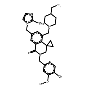 CCOc1cc(CN2CC3(CC3)c3c(CN4CCN(CC(F)(F)F)CC4)cc(Cn4ccnc4NC)cc3C2=O)ncc1C#N